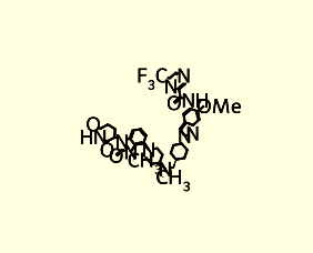 COc1cc2nn([C@H]3CC[C@H](CN(C)C4CCN(c5cccc6c5n(C)c(=O)n6C5CCC(=O)NC5=O)CC4)CC3)cc2cc1NC(=O)c1cncc(C(F)(F)F)n1